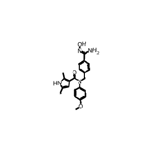 COc1ccc(N(Cc2ccc(C(N)=NO)cc2)C(=O)c2cc(C)[nH]c2C)cc1